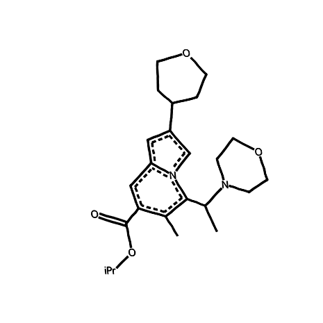 Cc1c(C(=O)OC(C)C)cc2cc(C3CCOCC3)cn2c1C(C)N1CCOCC1